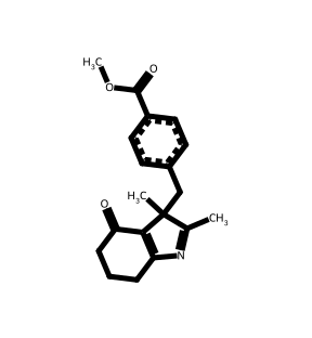 COC(=O)c1ccc(CC2(C)C(C)=NC3=C2C(=O)CCC3)cc1